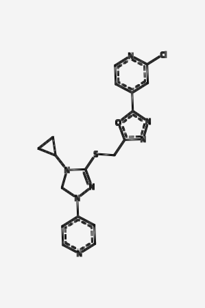 Clc1cc(-c2nnc(CSC3=NN(c4ccncc4)CN3C3CC3)o2)ccn1